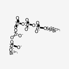 [Bi+3].[Bi+3].[O]=[Zr]([O-])[O-].[O]=[Zr]([O-])[O-].[O]=[Zr]([O-])[O-].[O]=[Zr]([O-])[O-].[O]=[Zr]([O-])[O-].[Sr+2].[Sr+2]